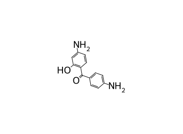 Nc1ccc(C(=O)c2ccc(N)cc2O)cc1